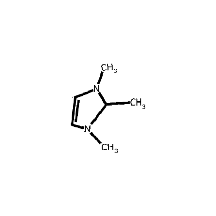 CC1N(C)[C]=CN1C